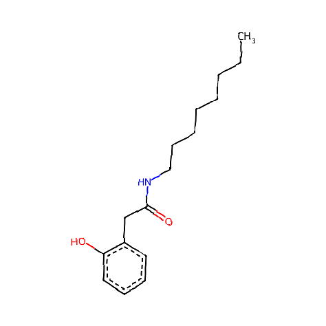 CCCCCCCCNC(=O)Cc1ccccc1O